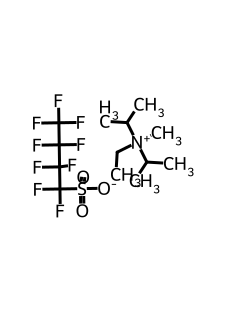 CC[N+](C)(C(C)C)C(C)C.O=S(=O)([O-])C(F)(F)C(F)(F)C(F)(F)C(F)(F)F